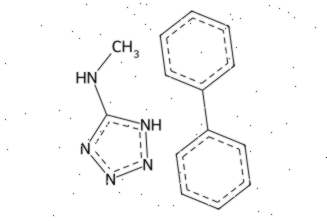 CNc1nnn[nH]1.c1ccc(-c2ccccc2)cc1